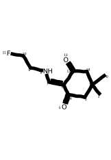 CC1(C)CC(=O)C(=CNCCF)C(=O)C1